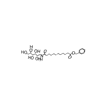 O=C(CCCCCCCCCCC(=O)OCc1ccccc1)NC[C@H](O)[C@@H](O)[C@H](O)[C@H](O)CO